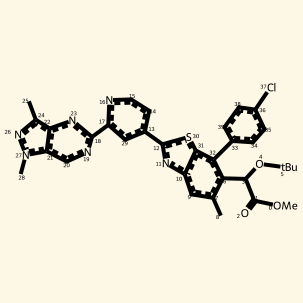 COC(=O)C(OC(C)(C)C)c1c(C)cc2nc(-c3ccnc(-c4ncc5c(n4)c(C)nn5C)c3)sc2c1-c1ccc(Cl)cc1